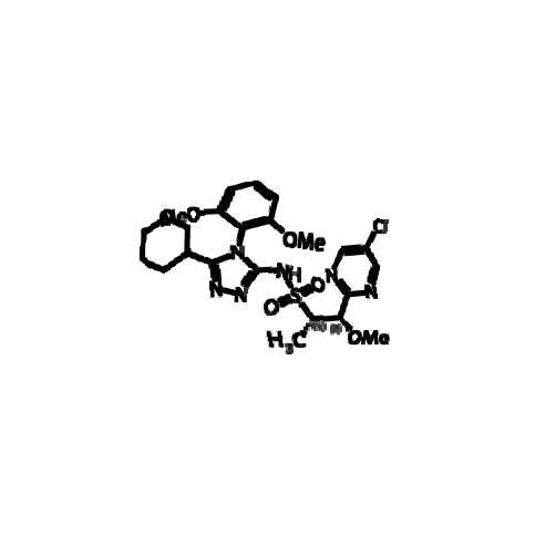 COc1cccc(OC)c1-n1c(NS(=O)(=O)[C@@H](C)[C@H](OC)c2ncc(Cl)cn2)nnc1C1CCCOC1